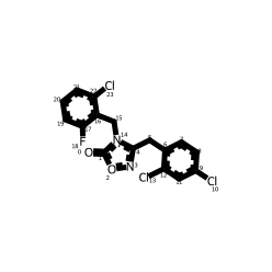 O=c1onc(Cc2ccc(Cl)cc2Cl)n1Cc1c(F)cccc1Cl